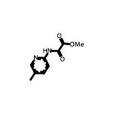 COC(=O)C(=O)Nc1ccc(C)cn1